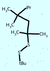 CC(C)C(C)(C)CC(C)(C)SSC(C)(C)C